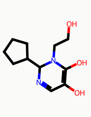 OCCN1C(O)=C(O)C=NC1C1CCCC1